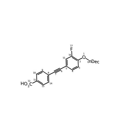 CCCCCCCCCCOc1ccc(C#Cc2ccc(C(=O)O)cc2)cc1F